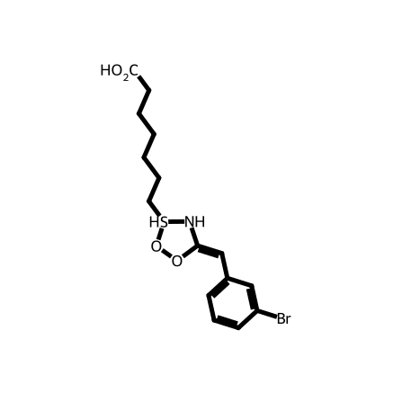 O=C(O)CCCCCC[SH]1N/C(=C/c2cccc(Br)c2)OO1